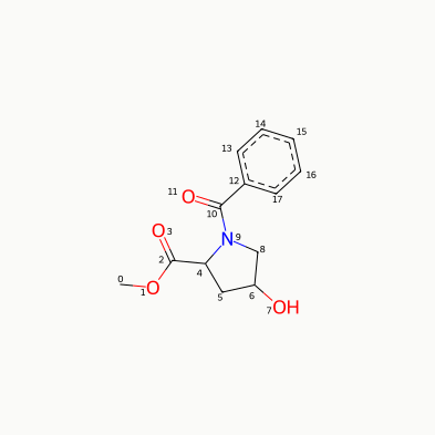 COC(=O)C1CC(O)CN1C(=O)c1ccccc1